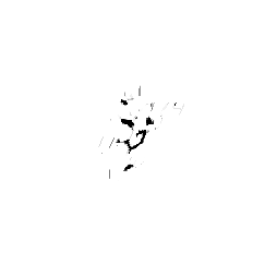 B[C@@H]1[C@H](OC(C)=O)C[C@@H](C(=O)OC)N1C(=O)OCC